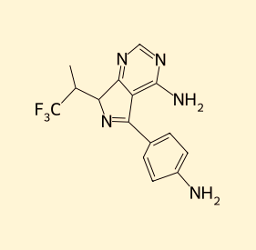 CC(C1N=C(c2ccc(N)cc2)c2c(N)ncnc21)C(F)(F)F